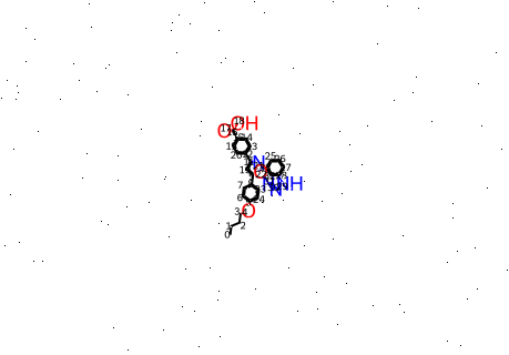 CCCCOc1ccc(-c2cc(-c3ccc(C(=O)O)cc3)no2)cc1.c1ccc2[nH]nnc2c1